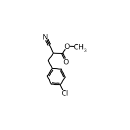 COC(=O)C(C#N)Cc1ccc(Cl)cc1